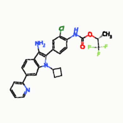 C[C@@H](OC(=O)Nc1ccc(-c2c(N)c3ccc(-c4ccccn4)cc3n2C2CCC2)cc1Cl)C(F)(F)F